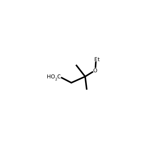 CCOC(C)(C)CC(=O)O